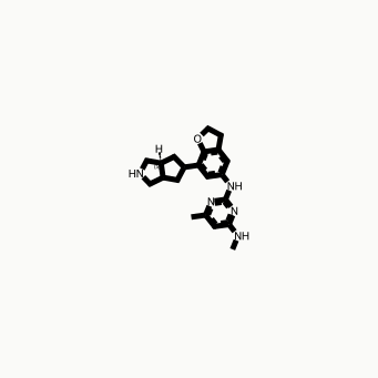 CNc1cc(C)nc(Nc2cc3c(c(C4CC5CNC[C@H]5C4)c2)OCC3)n1